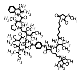 CC[C@H](C)[C@@H]([C@@H](CC(=O)N1CCC[C@H]1[C@H](OC)[C@@H](C)C(=O)N[C@H](C)[C@@H](O)c1ccccc1)OC)N(C)C(=O)[C@@H](NC(=O)[C@H](C(C)C)N(C)C(=O)OCc1ccc(NC(=O)[C@H](CCCNC(CC)(CC)C(N)=O)NC(=O)[C@@H](NC(=O)CCCCCN2C(=O)CC(SC)C2=O)C(C)C)cc1)C(C)C